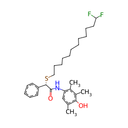 Cc1cc(NC(=O)[C@@H](SCCCCCCCCCCCC(F)F)c2ccccc2)c(C)c(C)c1O